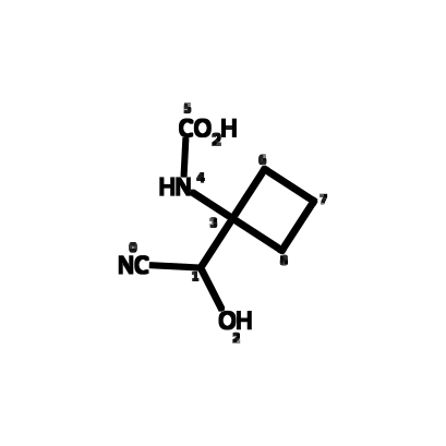 N#CC(O)C1(NC(=O)O)CCC1